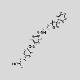 O=C(O)CCc1ccc(OCc2ccc(CNCCCc3nc(-c4ccccc4)cs3)cc2)cc1